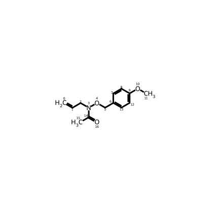 C=CCN(OCc1ccc(OC)cc1)C(C)=O